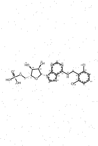 O=P(O)(O)OC[C@H]1O[C@@H](n2cnc3c(NCc4c(Cl)cccc4Cl)ncnc32)[C@H](O)[C@@H]1O